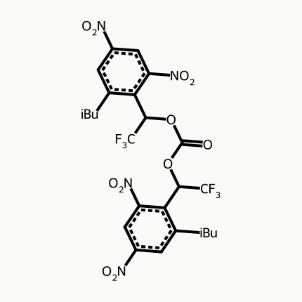 CCC(C)c1cc([N+](=O)[O-])cc([N+](=O)[O-])c1C(OC(=O)OC(c1c(C(C)CC)cc([N+](=O)[O-])cc1[N+](=O)[O-])C(F)(F)F)C(F)(F)F